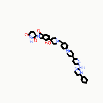 O=C1CCC(N2Cc3cc(C4(O)CCN(Cc5ccc(N6CCC(c7ccc(Nc8nccc(-c9ccccc9)n8)nc7)CC6)cc5)CC4)ccc3C2=O)C(=O)N1